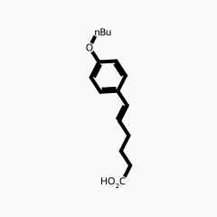 CCCCOc1ccc(C=CCCCC(=O)O)cc1